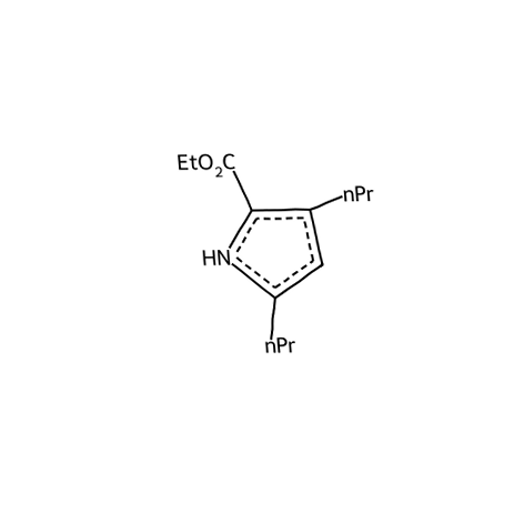 CCCc1cc(CCC)c(C(=O)OCC)[nH]1